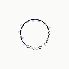 [C]1=C/C=C\C=C/C=C\C=C/C=C\C=C/C=C/C=C\CCCCCCCCCCC\1